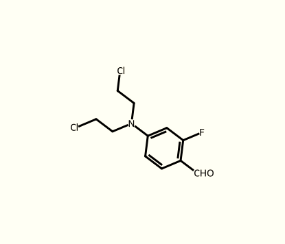 O=Cc1ccc(N(CCCl)CCCl)cc1F